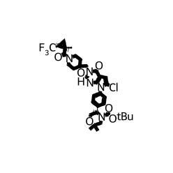 CC(C)(C)OC(=O)N1CC(C)(C)OC[C@@H]1c1ccc(-n2c(Cl)cc3c(=O)n(CC4(O)CCN(C(=O)[C@@]5(C)C[C@@H]5C(F)(F)F)CC4)cnc32)cc1